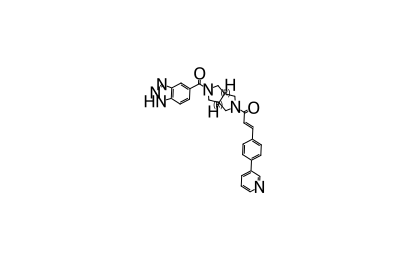 O=C(C=Cc1ccc(-c2cccnc2)cc1)N1C[C@@H]2CN(C(=O)c3ccc4[nH]nnc4c3)C[C@H]2C1